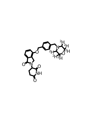 [2H]C1N(Cc2ccc(COc3cccc4c3CN(C3CCC(=O)NC3=O)C4=O)cc2)C([2H])C([2H])([2H])OC1([2H])[2H]